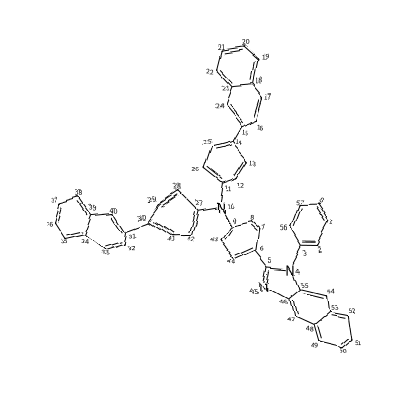 c1ccc(-n2c(-c3ccc(N(c4ccc(-c5ccc6ccccc6c5)cc4)c4ccc(-c5ccc6ccccc6c5)cc4)cc3)nc3cc4ccccc4cc32)cc1